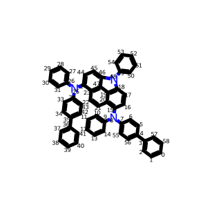 c1ccc(-c2ccc(N(c3ccccc3)c3ccc4c5c3ccc3c(N(c6ccccc6)c6ccc(-c7ccccc7)cc6)ccc(c35)n4-c3ccccc3)cc2)cc1